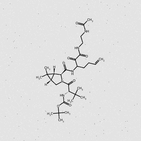 C=CCCC(NC(=O)[C@@H]1[C@@H]2[C@H](CN1C(=O)[C@@H](NC(=O)OC(C)(C)C)C(C)(C)C)C2(C)C)C(=O)C(=O)NCCNC(C)=O